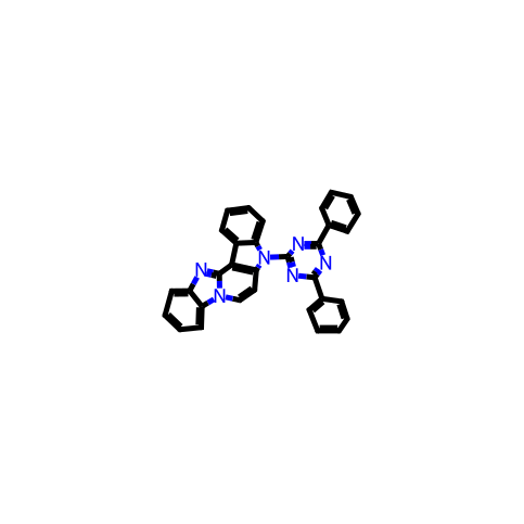 c1ccc(-c2nc(-c3ccccc3)nc(-n3c4ccccc4c4c3ccn3c5ccccc5nc43)n2)cc1